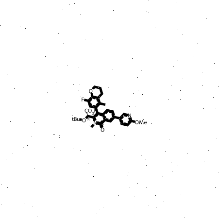 COc1ccc(-c2ccc3c(-c4cc(F)c5c(c4C)CCCO5)c([C@H](OC(C)(C)C)C(=O)O)n(C)c(=O)c3c2)cn1